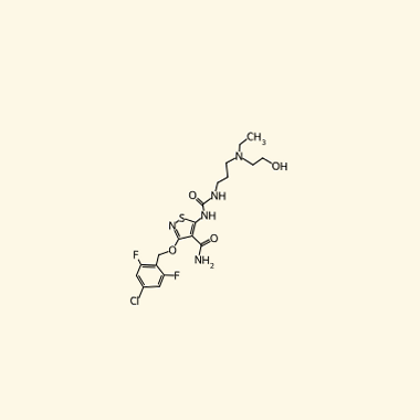 CCN(CCO)CCCNC(=O)Nc1snc(OCc2c(F)cc(Cl)cc2F)c1C(N)=O